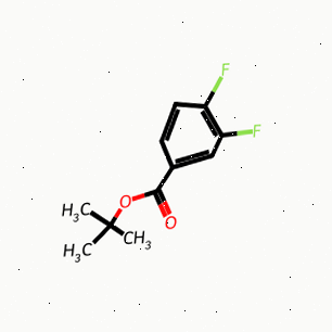 CC(C)(C)OC(=O)c1ccc(F)c(F)c1